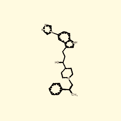 CC(CN1CCC(C(O)CCc2c[nH]c3ccc(-n4cnnc4)cc23)CC1)c1ccccc1